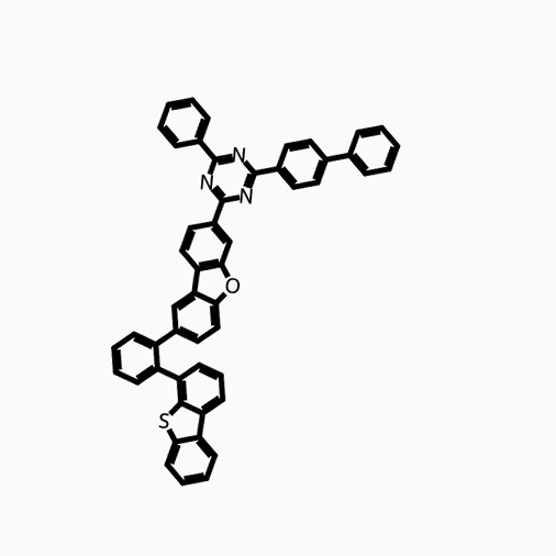 c1ccc(-c2ccc(-c3nc(-c4ccccc4)nc(-c4ccc5c(c4)oc4ccc(-c6ccccc6-c6cccc7c6sc6ccccc67)cc45)n3)cc2)cc1